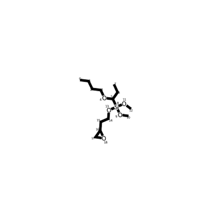 CCCCOC(CC)[Si](OC)(OC)OCCC1CO1